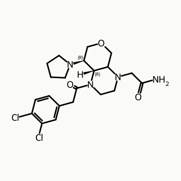 NC(=O)CN1CCN(C(=O)Cc2ccc(Cl)c(Cl)c2)[C@H]2C1COC[C@@H]2N1CCCC1